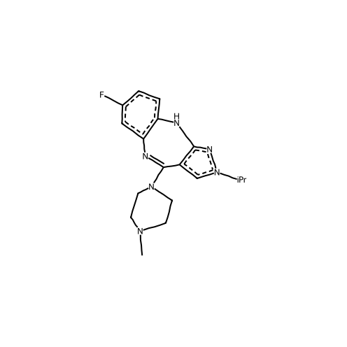 CC(C)n1cc2c(n1)Nc1ccc(F)cc1N=C2N1CCN(C)CC1